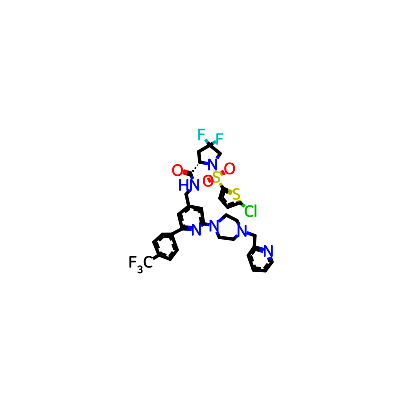 O=C(NCc1cc(-c2ccc(C(F)(F)F)cc2)nc(N2CCN(Cc3ccccn3)CC2)c1)[C@@H]1CC(F)(F)CN1S(=O)(=O)c1ccc(Cl)s1